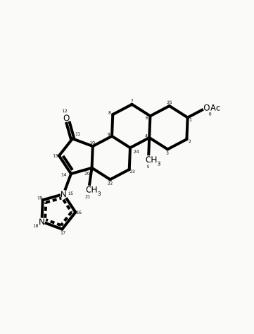 CC(=O)OC1CCC2(C)C(CCC3C4C(=O)C=C(n5ccnc5)C4(C)CCC32)C1